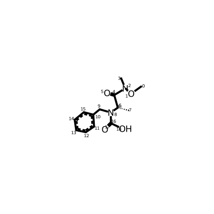 CON(C)C(=O)[C@H](C)N(Cc1ccccc1)C(=O)O